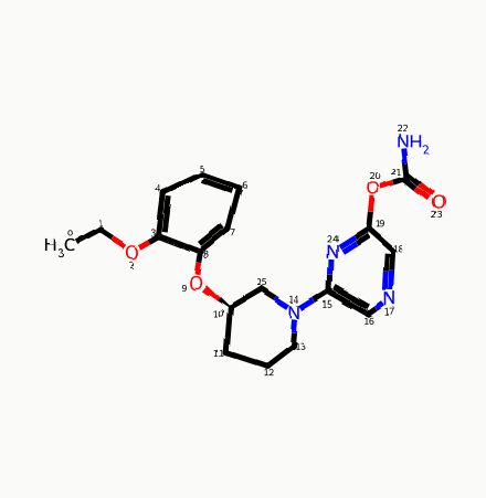 CCOc1ccccc1O[C@@H]1CCCN(c2cncc(OC(N)=O)n2)C1